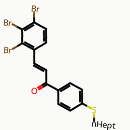 CCCCCCCSc1ccc(C(=O)/C=C/c2ccc(Br)c(Br)c2Br)cc1